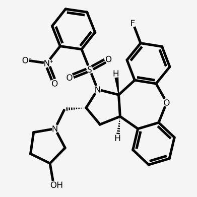 O=[N+]([O-])c1ccccc1S(=O)(=O)N1[C@@H](CN2CCC(O)C2)C[C@@H]2c3ccccc3Oc3ccc(F)cc3[C@H]21